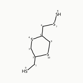 SCC1CSC(CSS)CS1